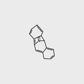 C1=CCC2=CC3=C4C=CC=CC4C(N3)C2=C1